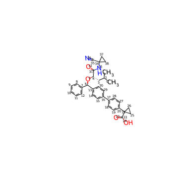 CC(C)C[C@H](O[C@H](c1ccccc1)c1ccc(-c2ccc(C3(C(=O)O)CC3)cc2)cc1)C(=O)NC1(C#N)CC1